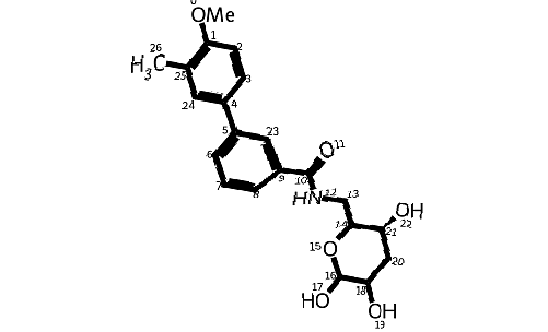 COc1ccc(-c2cccc(C(=O)NCC3OC(O)C(O)C[C@@H]3O)c2)cc1C